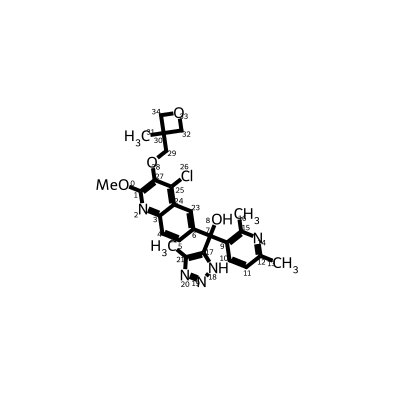 COc1nc2ccc(C(O)(c3ccc(C)nc3C)c3[nH]nnc3C)cc2c(Cl)c1OCC1(C)COC1